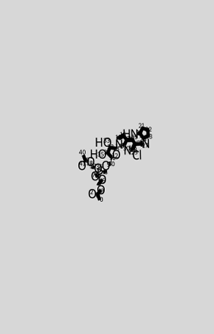 CC(=O)OCOP(=O)(COC[C@H]1O[C@@H](n2ccc3c(NC4CCCC4)c(C#N)c(Cl)nc32)[C@H](O)[C@@H]1O)OCOC(C)=O